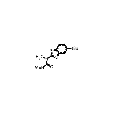 CNC(=O)N(C)c1nc2cc(C(C)(C)C)ccc2s1